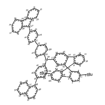 CC(C)(C)c1ccc2c(c1)C1(c3ccccc3-c3ccc(N(c4ccc(-c5ccc(-n6c7ccccc7c7ccccc76)cc5)cc4)c4ccc(-c5cccc6ccccc56)cc4)cc31)c1cc(C(C)(C)C)ccc1-2